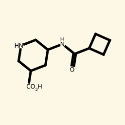 O=C(O)C1CNCC(NC(=O)C2CCC2)C1